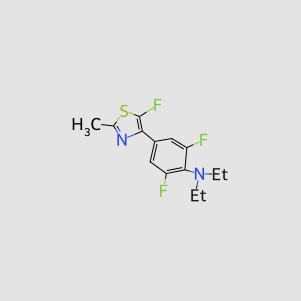 CCN(CC)c1c(F)cc(-c2nc(C)sc2F)cc1F